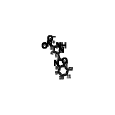 O=[N+]([O-])c1cc(-c2nc3ccccc3o2)n[nH]1